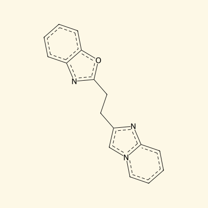 c1ccc2oc(CCc3cn4ccccc4n3)nc2c1